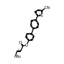 CCCC/C=C/C(=O)Oc1ccc(-c2ccc(-c3ccc(C#N)s3)cc2)cc1